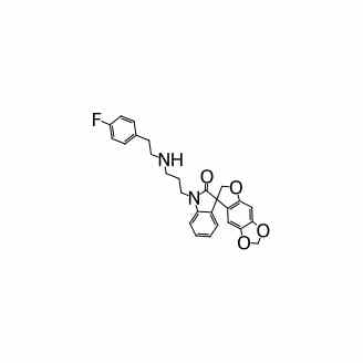 O=C1N(CCCNCCc2ccc(F)cc2)c2ccccc2C12COc1cc3c(cc12)OCO3